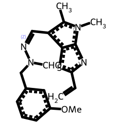 C=Cc1nc2c(s1)c(/C=N\N(C=O)Cc1cccc(OC)c1)c(C)n2C